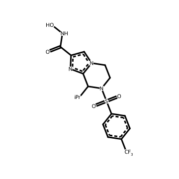 CC(C)C1c2nc(C(=O)NO)cn2CCN1S(=O)(=O)c1ccc(C(F)(F)F)cc1